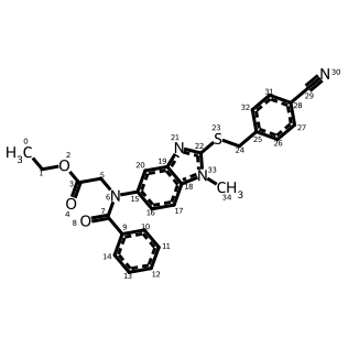 CCOC(=O)CN(C(=O)c1ccccc1)c1ccc2c(c1)nc(SCc1ccc(C#N)cc1)n2C